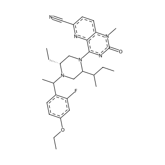 CCOc1ccc(C(C)N2CC(C(C)CC)N(c3nc(=O)n(C)c4ccc(C#N)nc34)C[C@H]2CC)c(F)c1